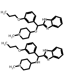 CCCOc1cccc(C(NC2CCN(C)CC2)c2nc3ccccc3[nH]2)c1.CCCOc1cccc(C(OC2CCN(C)CC2)c2nc3ccccc3[nH]2)c1